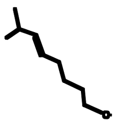 CC(C)C=CCCCC[O]